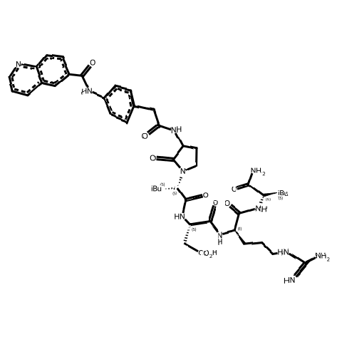 CC[C@H](C)[C@H](NC(=O)[C@@H](CCCNC(=N)N)NC(=O)[C@H](CC(=O)O)NC(=O)[C@H]([C@@H](C)CC)N1CCC(NC(=O)Cc2ccc(NC(=O)c3ccc4ncccc4c3)cc2)C1=O)C(N)=O